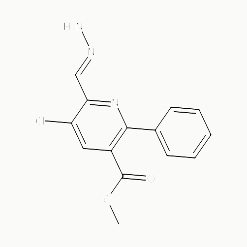 COC(=O)c1cc(Cl)c(C=NN)nc1-c1ccccc1